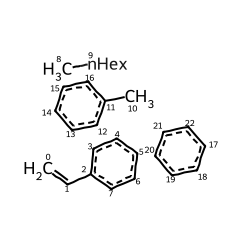 C=Cc1ccccc1.CCCCCCC.Cc1ccccc1.c1ccccc1